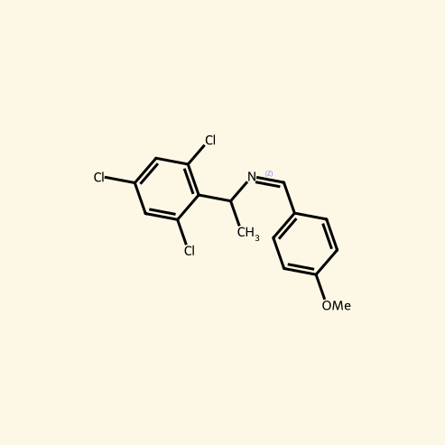 COc1ccc(/C=N\C(C)c2c(Cl)cc(Cl)cc2Cl)cc1